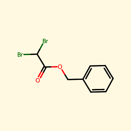 O=C(OCc1ccccc1)C(Br)Br